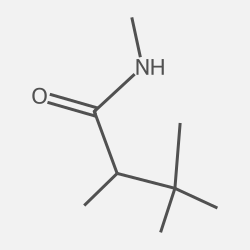 CNC(=O)C(C)C(C)(C)C